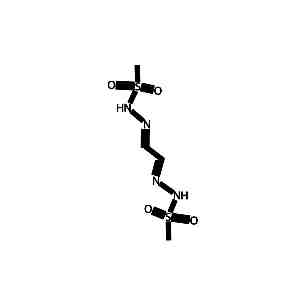 CS(=O)(=O)N/N=C/C=N/NS(C)(=O)=O